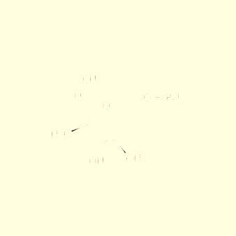 CO[C@@H]1O[C@H](COP)[C@@H](O)[C@H](O)[C@H]1C